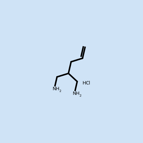 C=CCC(CN)CN.Cl